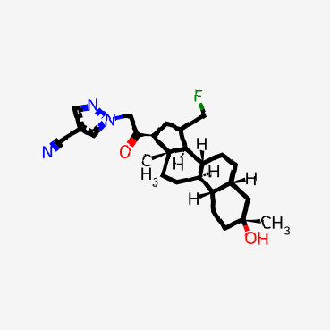 C[C@@]1(O)CC[C@H]2[C@H](CC[C@@H]3[C@@H]2CC[C@]2(C)[C@@H](C(=O)Cn4cc(C#N)cn4)CC(CF)[C@@H]32)C1